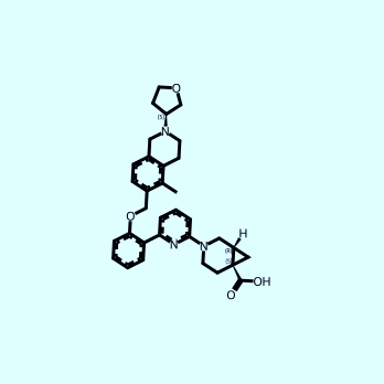 Cc1c(COc2ccccc2-c2cccc(N3CC[C@@]4(C(=O)O)C[C@H]4C3)n2)ccc2c1CCN([C@H]1CCOC1)C2